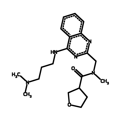 CN(C)CCCNc1nc(CN(C)C(=O)C2CCOC2)nc2ccccc12